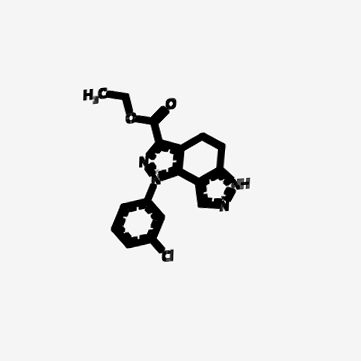 CCOC(=O)c1nn(-c2cccc(Cl)c2)c2c1CCc1[nH]ncc1-2